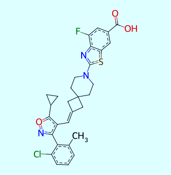 Cc1cccc(Cl)c1-c1noc(C2CC2)c1C=C1CC2(CCN(c3nc4c(F)cc(C(=O)O)cc4s3)CC2)C1